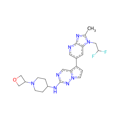 Cc1nc2ncc(-c3ccn4nc(NC5CCN(C6COC6)CC5)ncc34)cc2n1CC(F)F